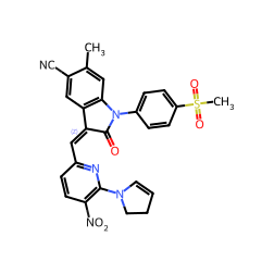 Cc1cc2c(cc1C#N)/C(=C/c1ccc([N+](=O)[O-])c(N3C=CCC3)n1)C(=O)N2c1ccc(S(C)(=O)=O)cc1